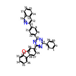 c1ccc(-c2nc(-c3ccc(-c4cc5ccccc5cn4)cc3)nc(-c3ccc4c(c3)oc3ccccc34)n2)cc1